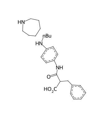 C1CCCNCC1.CCCCNc1ccc(NC(=O)C(Cc2ccccc2)C(=O)O)cc1